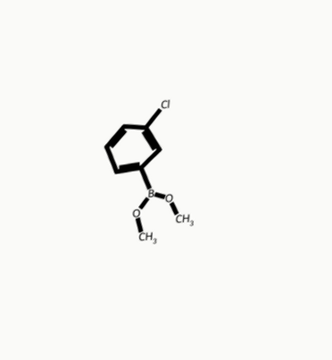 COB(OC)c1cccc(Cl)c1